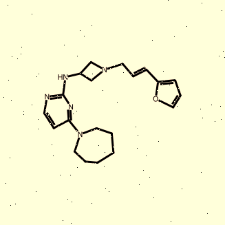 C(=C\c1ccco1)/CN1CC(Nc2nccc(N3CCCCCC3)n2)C1